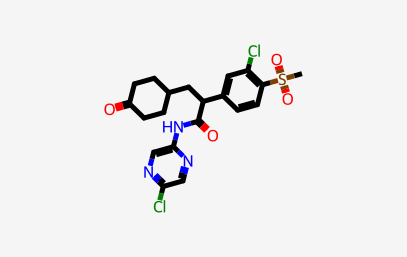 CS(=O)(=O)c1ccc(C(CC2CCC(=O)CC2)C(=O)Nc2cnc(Cl)cn2)cc1Cl